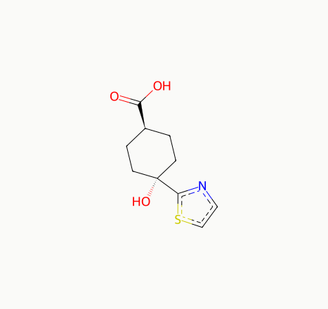 O=C(O)[C@H]1CC[C@@](O)(c2nccs2)CC1